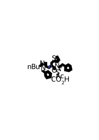 CCCCc1ncc(/C=C(\Cc2cccs2)C(=O)N[C@@H](CSC(C)=O)Cc2ccccc2)n1Cc1ccc(C(=O)O)cc1